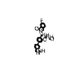 O=CNC(=O)N[C@@H](CN1Cc2ccc(F)cc2C1=O)c1ccc(-c2ccc3cn[nH]c3c2)cc1